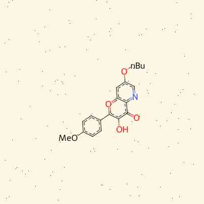 CCCCOc1cnc2c(=O)c(O)c(-c3ccc(OC)cc3)oc2c1